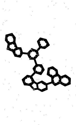 C1=CC2Oc3cccc(-c4cccc(-c5nc(-c6ccccc6)nc(-c6ccc7oc8ccccc8c7c6)n5)c4)c3C2C=C1c1cc2ccccc2c2ccccc12